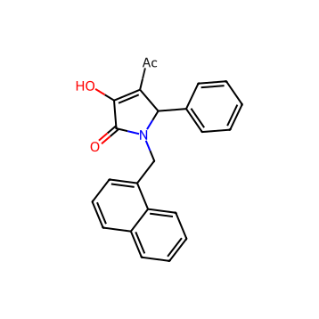 CC(=O)C1=C(O)C(=O)N(Cc2cccc3ccccc23)C1c1ccccc1